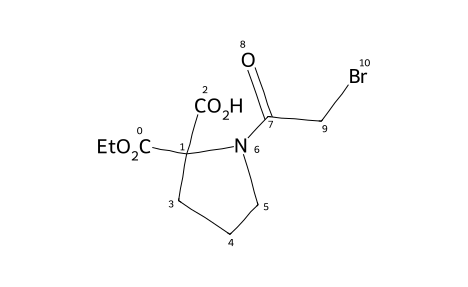 CCOC(=O)C1(C(=O)O)CCCN1C(=O)CBr